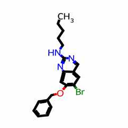 CCCCCNc1ncc2cc(Br)c(OCc3ccccc3)cc2n1